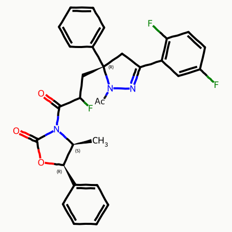 CC(=O)N1N=C(c2cc(F)ccc2F)C[C@@]1(CC(F)C(=O)N1C(=O)O[C@H](c2ccccc2)[C@@H]1C)c1ccccc1